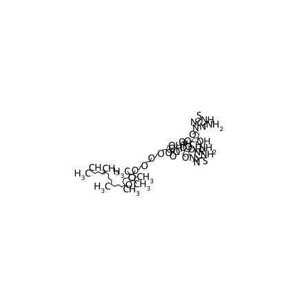 COP(=O)(OC[C@H]1O[C@@H](n2cnc3c(=S)[nH]c(N)nc32)CC1O)OC1C(O)[C@H](n2cnc3c(=S)[nH]c(N)nc32)O[C@@H]1COP(=O)(O)O[C@H](CO)COCCOCCOCCOc1c(C)c(C)c2c(c1C)CC[C@@](C)(CCC[C@H](C)CCC[C@H](C)CCCC(C)C)O2